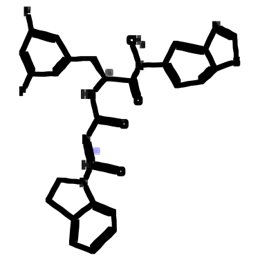 CN(C(=O)[C@H](Cc1cc(F)cc(F)c1)NC(=O)/N=[SH](=O)/N1CCc2ccccc21)c1ccc2scnc2c1